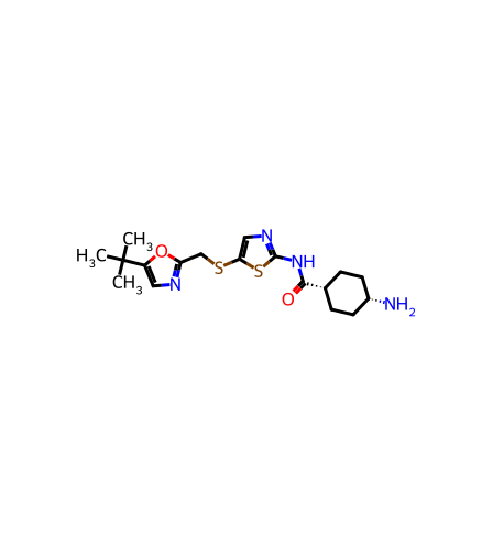 CC(C)(C)c1cnc(CSc2cnc(NC(=O)[C@H]3CC[C@@H](N)CC3)s2)o1